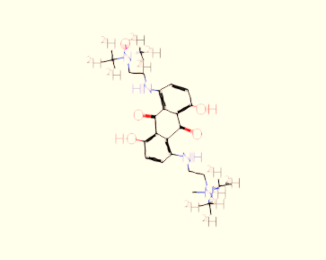 [2H]C([2H])([2H])[N+](C)(CCNc1ccc(O)c2c1C(=O)c1c(O)ccc(NCC[N+]([O-])(C([2H])([2H])[2H])C([2H])([2H])[2H])c1C2=O)C([2H])([2H])[2H]